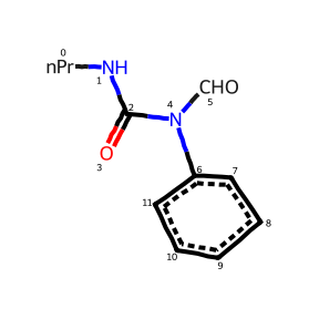 CCCNC(=O)N(C=O)c1ccccc1